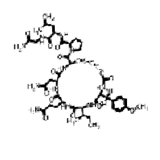 [2H]C([2H])(c1ccc(OC)cc1)C1NC(=O)CCCSCC(C(=O)N2CCCC2C(=O)NC(CC(C)C)C(=O)NCC(N)=O)NC(=O)C(CC(N)=O)NC(=O)C(CCC(N)=O)NC(=O)C(C(C)CC)NC1=O